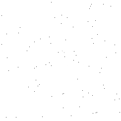 CC(Cl)c1nc2ccccc2c(=O)o1